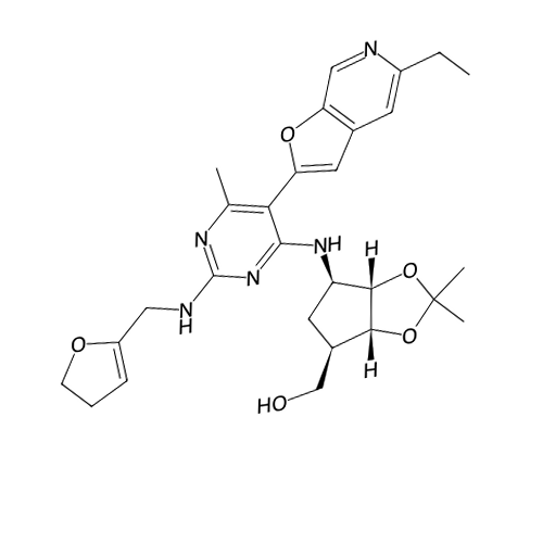 CCc1cc2cc(-c3c(C)nc(NCC4=CCCO4)nc3N[C@@H]3C[C@H](CO)[C@H]4OC(C)(C)O[C@H]43)oc2cn1